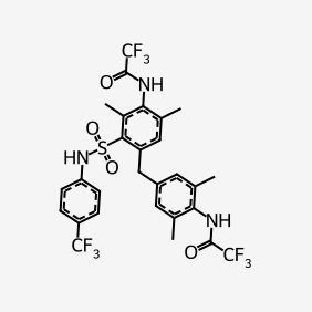 Cc1cc(Cc2cc(C)c(NC(=O)C(F)(F)F)c(C)c2S(=O)(=O)Nc2ccc(C(F)(F)F)cc2)cc(C)c1NC(=O)C(F)(F)F